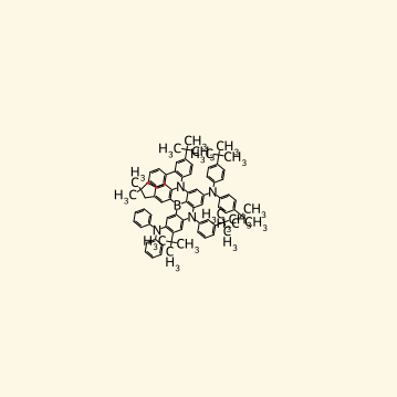 CC1(C)Cc2cc3c(cc2C1)N(c1ccc(C(C)(C)C)cc1-c1ccccc1)c1cc(N(c2ccc(C(C)(C)C)cc2)c2ccc(C(C)(C)C)cc2)cc2c1B3c1cc(N(c3ccccc3)c3ccccc3)c(C(C)(C)C)cc1N2c1cccc(C(C)(C)C)c1